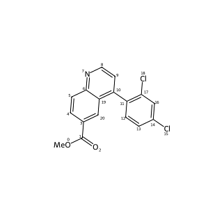 COC(=O)c1ccc2nccc(-c3ccc(Cl)cc3Cl)c2c1